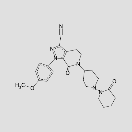 COc1ccc(-n2nc(C#N)c3c2C(=O)N(C2CCN(N4CCCCC4=O)CC2)CC3)cc1